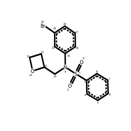 O=S(=O)(c1ccccc1)N(CC1CCO1)c1cccc(Br)c1